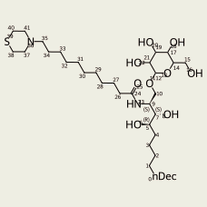 CCCCCCCCCCCCCC[C@@H](O)[C@@H](O)[C@H](COC1OC(CO)C(O)C(O)C1O)NC(=O)CCCCCCCCCCN1CCSCC1